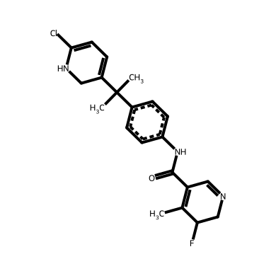 CC1=C(C(=O)Nc2ccc(C(C)(C)C3=CC=C(Cl)NC3)cc2)C=NCC1F